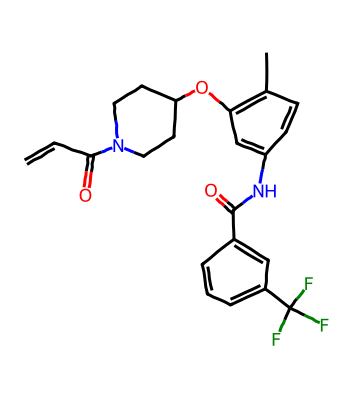 C=CC(=O)N1CCC(Oc2cc(NC(=O)c3cccc(C(F)(F)F)c3)ccc2C)CC1